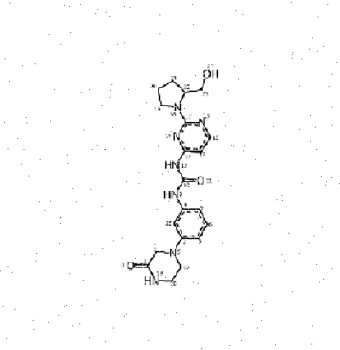 O=C1CN(c2cccc(NC(=O)Nc3ccnc(N4CCCC4CO)n3)c2)CCN1